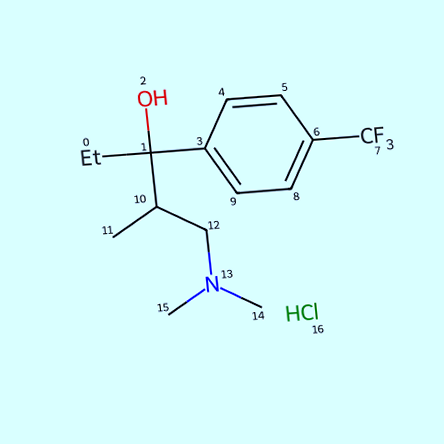 CCC(O)(c1ccc(C(F)(F)F)cc1)C(C)CN(C)C.Cl